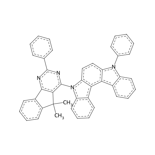 CC1(C)c2ccccc2-c2nc(-c3ccccc3)nc(-n3c4ccccc4c4c5c6ccccc6n(-c6ccccc6)c5ccc43)c21